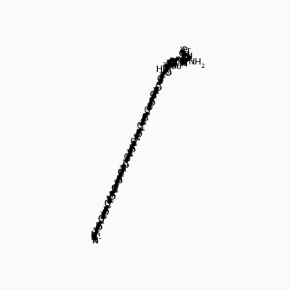 CCCCc1nc2c(N)nnc(OC(C)C)c2n1Cc1ccc(C(C)(C)NC(=O)CCOCCOCCOCCOCCOCCOCCOCCOCCOCCOCCOCCOCCOCCOCCOCCOCCOCCOCCOCCOCCN=[N+]=[N-])cc1